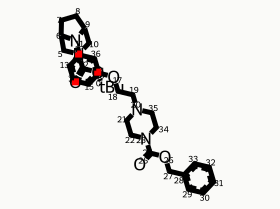 CC(C)(C)OC(=O)N1CC2CCC(C1)N2c1cccc(OCCN2CCN(C(=O)OCc3ccccc3)CC2)c1